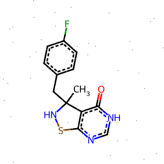 CC1(Cc2ccc(F)cc2)NSc2nc[nH]c(=O)c21